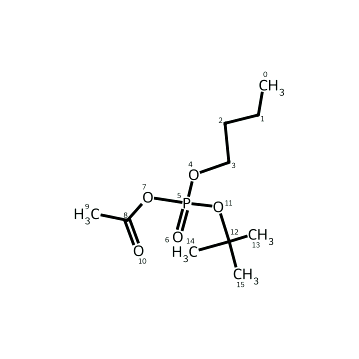 CCCCOP(=O)(OC(C)=O)OC(C)(C)C